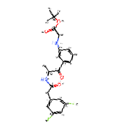 C[C@H](NC(=O)Cc1cc(F)cc(F)c1)C(=O)c1cccc(NCC(=O)OC(C)(C)C)c1